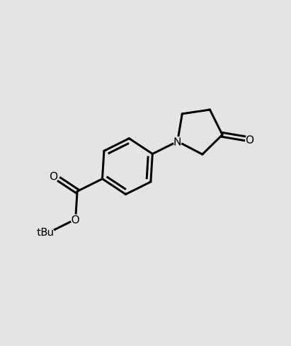 CC(C)(C)OC(=O)c1ccc(N2CCC(=O)C2)cc1